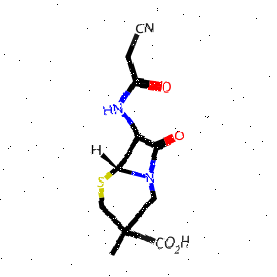 CC1(C(=O)O)CS[C@@H]2C(NC(=O)CC#N)C(=O)N2C1